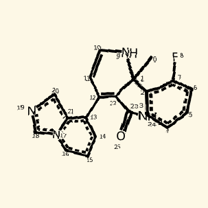 CC1(c2ccccc2F)NC=CC(c2cccn3cncc23)=C1C(N)=O